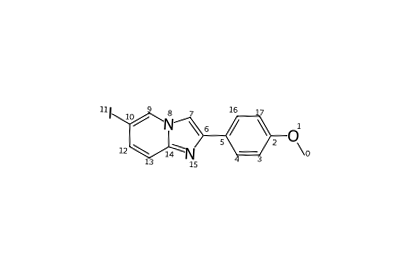 COc1ccc(-c2cn3cc(I)ccc3n2)cc1